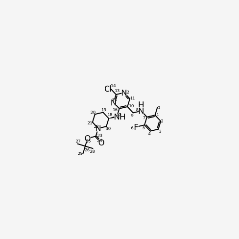 Cc1cccc(F)c1NCc1cnc(Cl)nc1N[C@@H]1CCCN(C(=O)OC(C)(C)C)C1